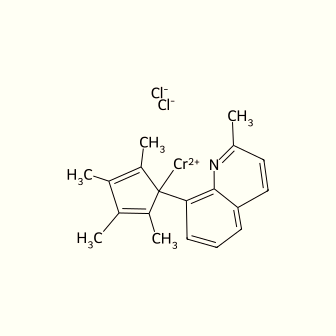 CC1=C(C)[C]([Cr+2])(c2cccc3ccc(C)nc23)C(C)=C1C.[Cl-].[Cl-]